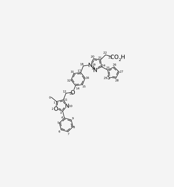 Cc1oc(-c2ccccc2)nc1COc1ccc(Cn2cc(CC(=O)O)c(-c3cccs3)n2)cc1